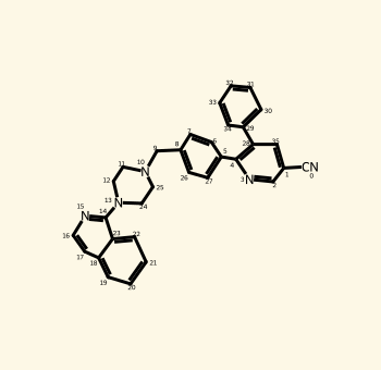 N#Cc1cnc(-c2ccc(CN3CCN(c4nccc5ccccc45)CC3)cc2)c(-c2ccccc2)c1